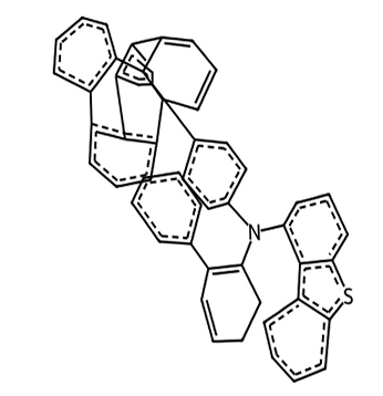 C1=CC2c3cccc4c3-c3cc(-c5ccc(N(C6=C(c7ccccc7)C=CCC6)c6cccc7sc8ccccc8c67)cc5)ccc3C(=C1)C2c1ccccc1-4